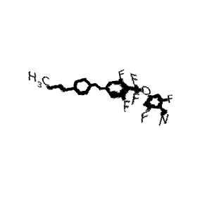 CCCCC1CCC(CCc2cc(F)c(C(F)(F)Oc3cc(F)c(C#N)c(F)c3)c(F)c2)CC1